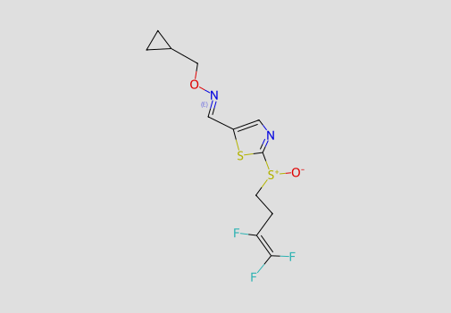 [O-][S+](CCC(F)=C(F)F)c1ncc(/C=N/OCC2CC2)s1